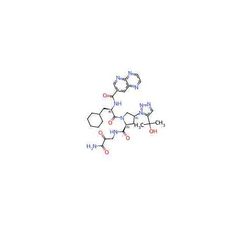 CC(C)(O)c1cnnn1[C@H]1C[C@@H](C(=O)NCC(=O)C(N)=O)N(C(=O)[C@@H](CC2CCCCC2)NC(=O)c2cnc3nccnc3c2)C1